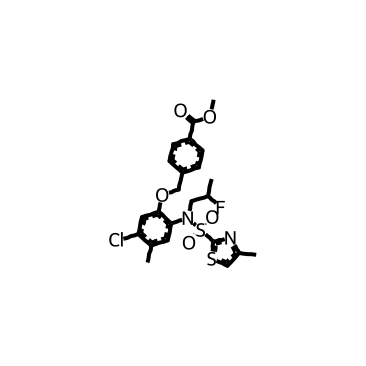 COC(=O)c1ccc(COc2cc(Cl)c(C)cc2N(CC(C)F)S(=O)(=O)c2nc(C)cs2)cc1